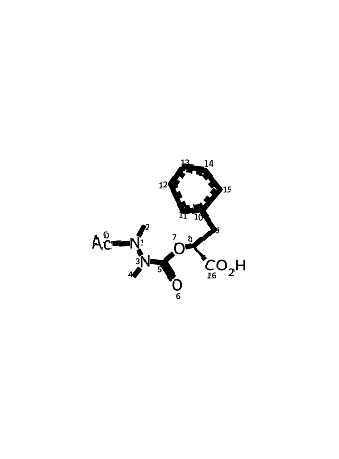 CC(=O)N(C)N(C)C(=O)O[C@@H](Cc1ccccc1)C(=O)O